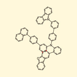 c1cc(-c2ccc(-c3cccc4ccccc34)cc2)cc(N(c2ccc(-c3cccc(-n4c5ccccc5c5ccccc54)c3)cc2)c2ccccc2-c2ccc3oc4ccccc4c3c2)c1